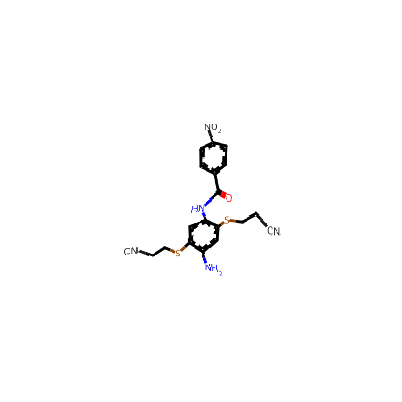 [C-]#[N+]CCSc1cc(NC(=O)c2ccc([N+](=O)[O-])cc2)c(SCCC#N)cc1N